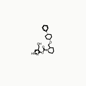 O=C(Oc1n[nH]cc1CO)N1CCCCC1CO[C@H]1CC[C@@H](c2ccccc2)CC1